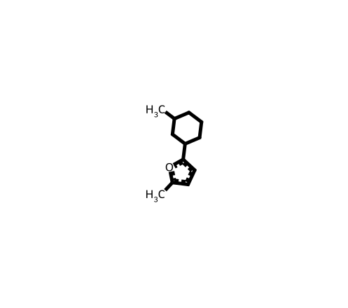 Cc1ccc(C2CCCC(C)C2)o1